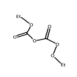 CCOOC(=O)OC(=O)OCC